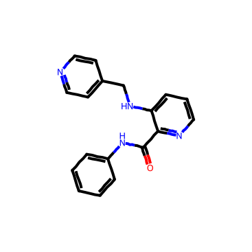 O=C(Nc1ccccc1)c1ncccc1NCc1ccncc1